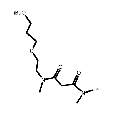 CC(C)COCCCOCCN(C)C(=O)CC(=O)N(C)C(C)C